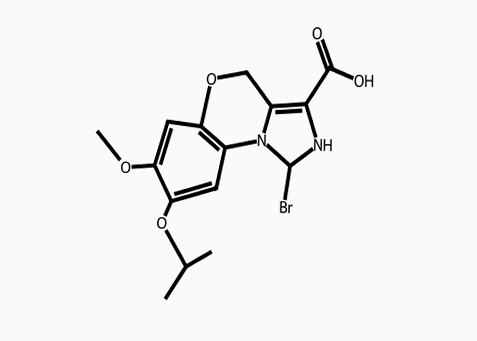 COc1cc2c(cc1OC(C)C)N1C(=C(C(=O)O)NC1Br)CO2